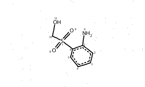 Nc1ccccc1S(=O)(=O)CO